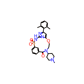 Cc1cccc(C)c1-c1cc2nc(n1)NS(=O)(=O)c1cccc(c1)C(=O)N(C1CCN(C)CC1)CCO2